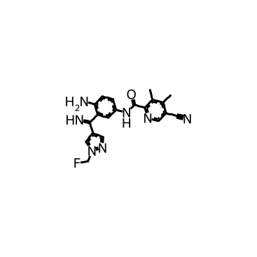 Cc1c(C#N)cnc(C(=O)Nc2ccc(N)c(C(=N)c3cnn(CF)c3)c2)c1C